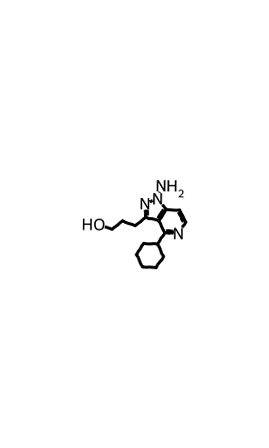 Nn1nc(CCCO)c2c(C3CCCCC3)nccc21